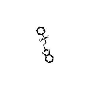 O=S(=O)(CSc1nc2ccccc2s1)c1ccccc1